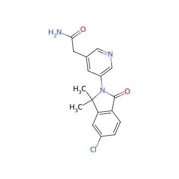 CC1(C)c2cc(Cl)ccc2C(=O)N1c1cncc(CC(N)=O)c1